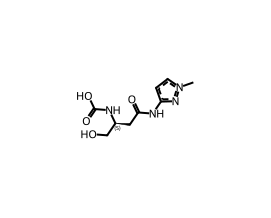 Cn1ccc(NC(=O)C[C@@H](CO)NC(=O)O)n1